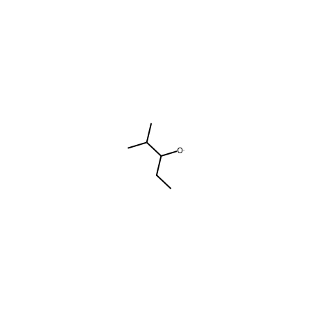 CCC([O])C(C)C